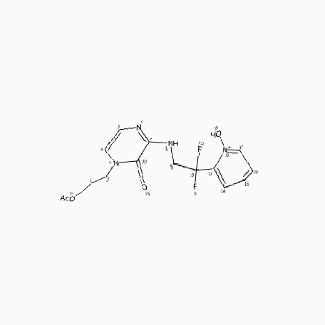 CC(=O)OCCn1ccnc(NCC(F)(F)c2cccc[n+]2O)c1=O